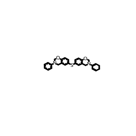 C1=CC(N2COc3ccc(Sc4ccc5c(c4)CN(c4ccccc4)CO5)cc3C2)=CCC1